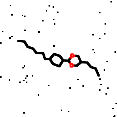 CCCCCCCC1CCC(C2OCC(CCCC)CO2)CC1